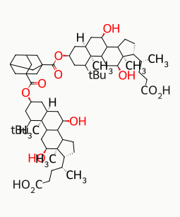 C[C@H](CCC(=O)O)[C@H]1CCC2C3C(C[C@H](O)[C@@]21C)[C@@]1(C)C(C(C)(C)C)C[C@@H](OC(=O)C24CC5CC(C2)CC(C(=O)O[C@@H]2CC(C(C)(C)C)[C@]6(C)C7C[C@H](O)[C@@]8(C)C(CC[C@@H]8[C@H](C)CCC(=O)O)C7[C@H](O)C[C@@H]6C2)(C5)C4)C[C@H]1C[C@H]3O